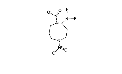 O=[N+]([O-])N1CCCN([N+](=O)[O-])C(N(F)F)CC1